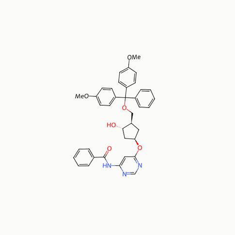 COc1ccc(C(OC[C@H]2C[C@@H](Oc3cc(NC(=O)c4ccccc4)ncn3)C[C@@H]2O)(c2ccccc2)c2ccc(OC)cc2)cc1